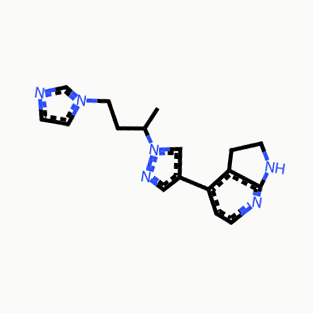 CC(CCn1ccnc1)n1cc(-c2ccnc3c2CCN3)cn1